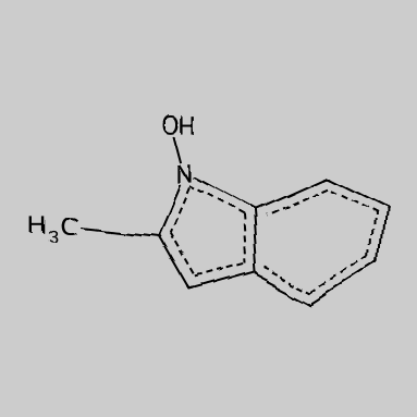 Cc1cc2ccccc2n1O